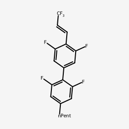 CCCCCc1cc(F)c(-c2cc(F)c(/C=C/C(F)(F)F)c(F)c2)c(F)c1